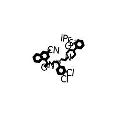 CC(C)[S+]([O-])c1ccccc1C1CCN(CC[C@H](CN(C)C(=O)c2cc(C#N)cc3ccccc23)c2ccc(Cl)c(Cl)c2)CC1